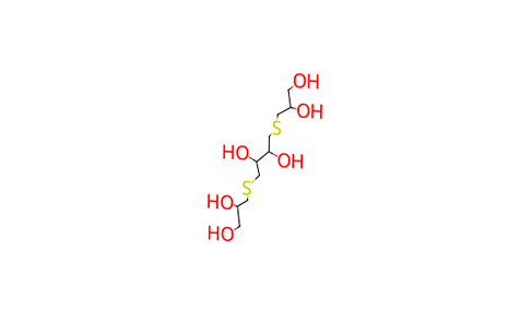 OCC(O)CSCC(O)C(O)CSCC(O)CO